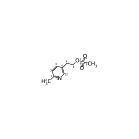 Cc1ccc(CCOS(C)(=O)=O)cn1